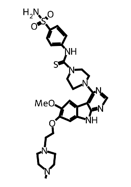 COc1cc2c(cc1OCCN1CCN(C)CC1)[nH]c1ncnc(N3CCN(C(=S)Nc4ccc(S(N)(=O)=O)cc4)CC3)c12